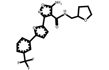 Nc1onc(-c2ccc(-c3cccc(C(F)(F)F)c3)o2)c1C(=O)NCC1CCCO1